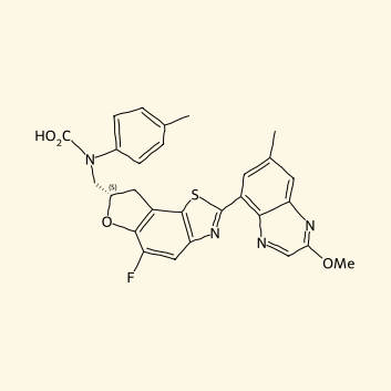 COc1cnc2c(-c3nc4cc(F)c5c(c4s3)C[C@@H](CN(C(=O)O)c3ccc(C)cc3)O5)cc(C)cc2n1